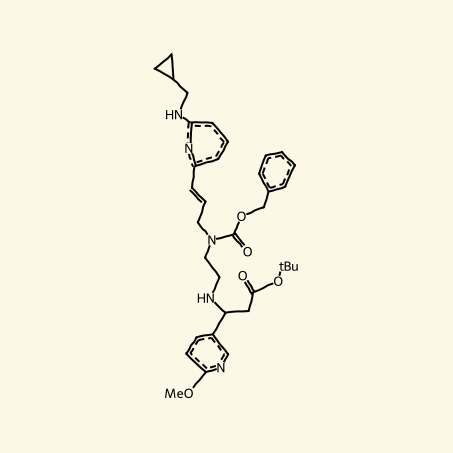 COc1ccc(C(CC(=O)OC(C)(C)C)NCCN(C/C=C/c2cccc(NCC3CC3)n2)C(=O)OCc2ccccc2)cn1